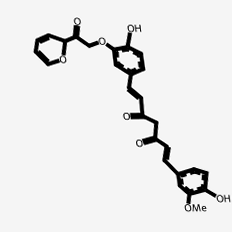 COc1cc(/C=C/C(=O)CC(=O)/C=C/c2ccc(O)c(OCC(=O)C3C=CC=CO3)c2)ccc1O